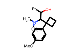 CCC(O)C(N(C)C)C1(c2ccc(OC)cc2)CCC1